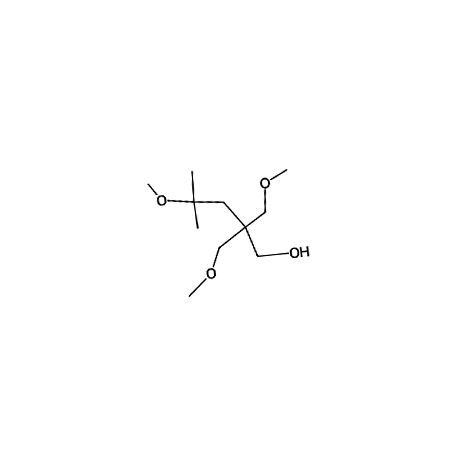 COCC(CO)(COC)CC(C)(C)OC